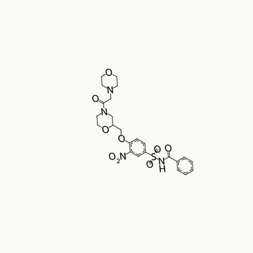 O=C(NS(=O)(=O)c1ccc(OCC2CN(C(=O)CN3CCOCC3)CCO2)c([N+](=O)[O-])c1)c1ccccc1